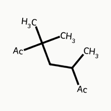 CC(=O)C(C)CC(C)(C)C(C)=O